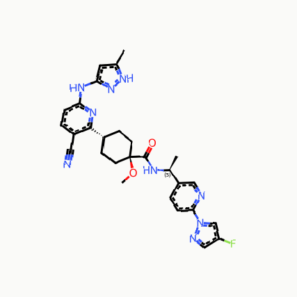 CO[C@]1(C(=O)N[C@@H](C)c2ccc(-n3cc(F)cn3)nc2)CC[C@@H](c2nc(Nc3cc(C)[nH]n3)ccc2C#N)CC1